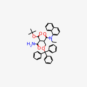 CCN(C(=O)C(COC(c1ccccc1)(c1ccccc1)c1ccccc1)C(C(N)=O)C(=O)OC(C)(C)C)c1cccc2ccccc12